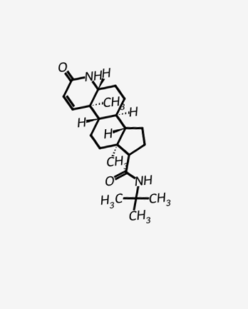 CC(C)(C)NC(=O)C1CC[C@H]2[C@@H]3CC[C@H]4NC(=O)C=C[C@]4(C)[C@H]3CC[C@]12C